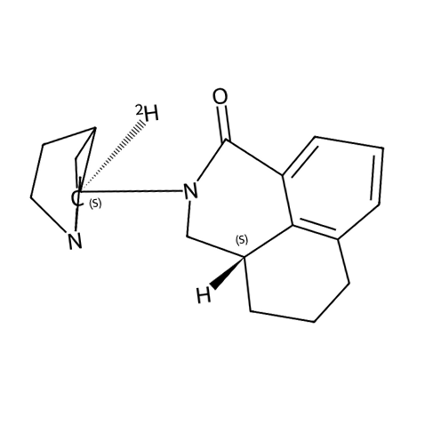 [2H][C@@]1(N2C[C@H]3CCCc4cccc(c43)C2=O)CN2CCC1CC2